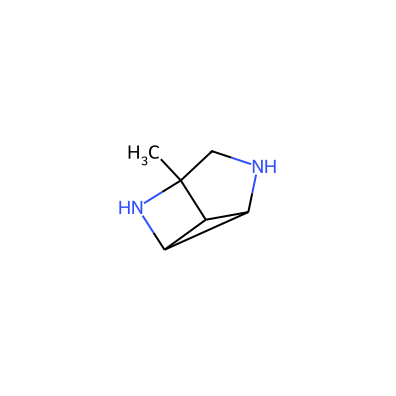 CC12CNC3C(N1)C32